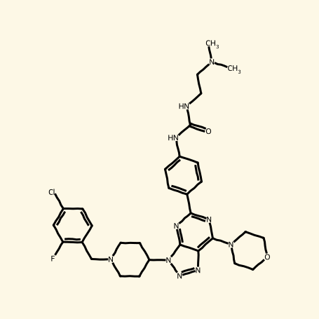 CN(C)CCNC(=O)Nc1ccc(-c2nc(N3CCOCC3)c3nnn(C4CCN(Cc5ccc(Cl)cc5F)CC4)c3n2)cc1